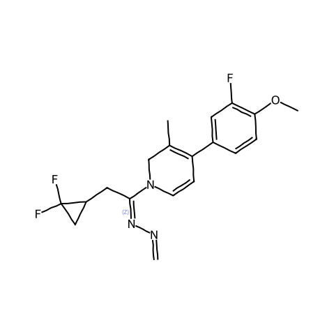 C=N/N=C(/CC1CC1(F)F)N1C=CC(c2ccc(OC)c(F)c2)=C(C)C1